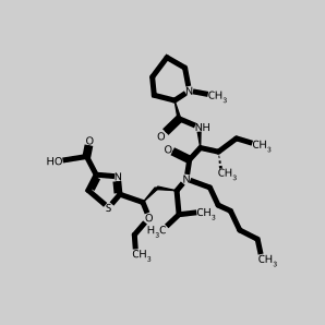 CCCCCCN(C(=O)[C@@H](NC(=O)[C@H]1CCCCN1C)[C@@H](C)CC)[C@H](C[C@@H](OCC)c1nc(C(=O)O)cs1)C(C)C